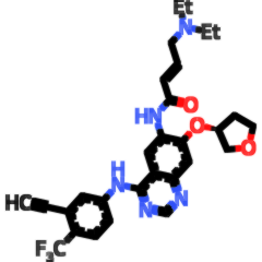 C#Cc1cc(Nc2ncnc3cc(O[C@H]4CCOC4)c(NC(=O)/C=C/CN(CC)CC)cc23)ccc1C(F)(F)F